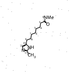 CNC(=O)CCCCCCCc1[c]nc(C)[nH]1